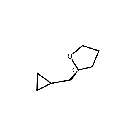 C1CO[C@H](CC2CC2)C1